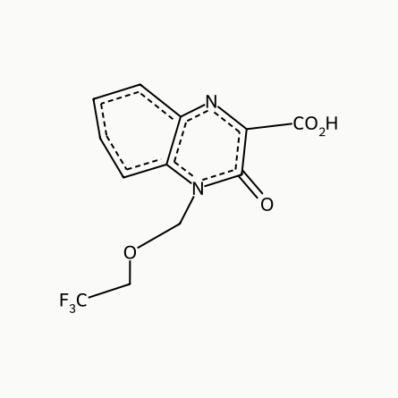 O=C(O)c1nc2ccccc2n(COCC(F)(F)F)c1=O